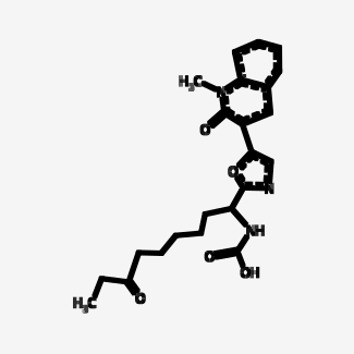 CCC(=O)CCCCCC(NC(=O)O)c1ncc(-c2cc3ccccc3n(C)c2=O)o1